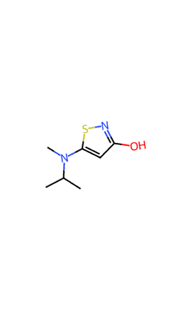 CC(C)N(C)c1cc(O)ns1